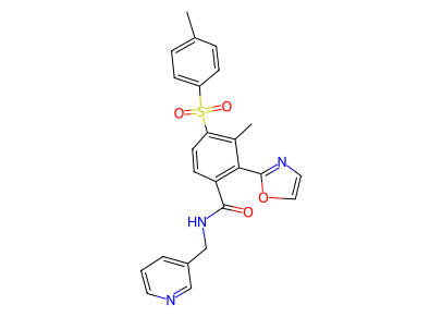 Cc1ccc(S(=O)(=O)c2ccc(C(=O)NCc3cccnc3)c(-c3ncco3)c2C)cc1